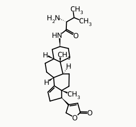 CC(C)[C@@H](N)C(=O)N[C@H]1CC[C@@]2(C)[C@H](CC[C@H]3C4=CC[C@H](C5=CC(=O)OC5)[C@@]4(C)CC[C@@H]32)C1